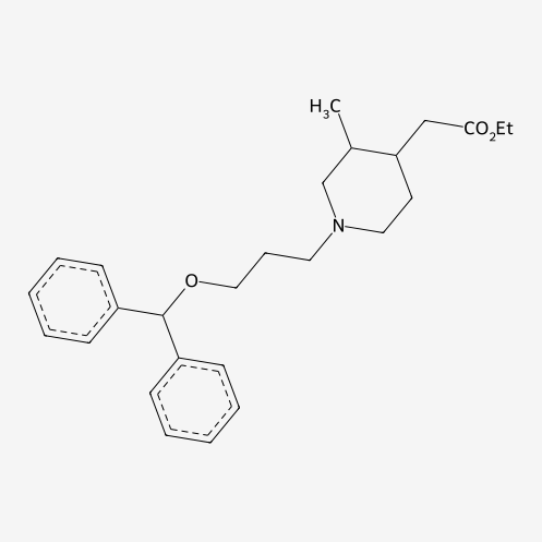 CCOC(=O)CC1CCN(CCCOC(c2ccccc2)c2ccccc2)CC1C